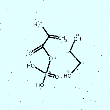 C=C(C)C(=O)OP(=O)(O)O.OCCO